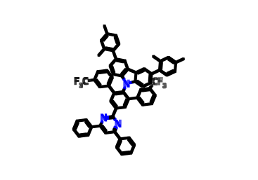 Cc1ccc(-c2ccc3c(c2)c2cc(-c4ccc(C)cc4C)ccc2n3-c2c(-c3cccc(C(F)(F)F)c3)cc(-c3nc(-c4ccccc4)cc(-c4ccccc4)n3)cc2-c2cccc(C(F)(F)F)c2)c(C)c1